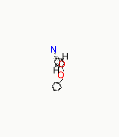 N#C[C@H]1C[C@H]2O[C@@H]1CC2COCc1ccccc1